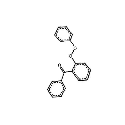 O=C(c1ccccc1)c1ccccc1OOc1ccccc1